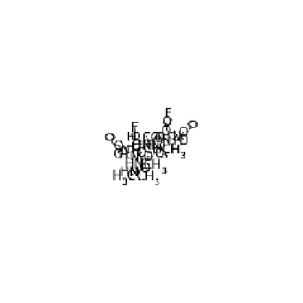 CN[C@@H](C)C(=O)N[C@H](C(=O)N1CC[C@@H]2[C@H]1[C@@H](Oc1ccc(F)cc1)CN2C(=O)OCc1ccccc1)[C@@H](C)OCCO[C@H](C)[C@H](NC(=O)[C@H](C)NC)C(=O)N1CC[C@@H]2[C@H]1[C@@H](Oc1ccc(F)cc1)CN2C(=O)OCc1ccccc1